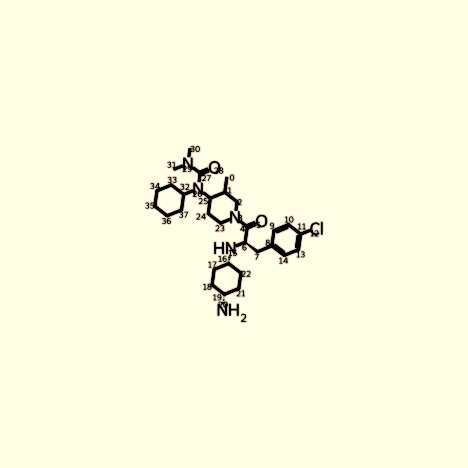 CC1CN(C(=O)[C@@H](Cc2ccc(Cl)cc2)N[C@H]2CC[C@@H](N)CC2)CCC1N(C(=O)N(C)C)C1CCCCC1